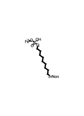 CCCCCCCCCCCCCCCCCCOP(=O)(O)[O][Fe]